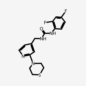 O=C(NCc1ccnc(N2CCSCC2)c1)Nc1ccc(F)cc1F